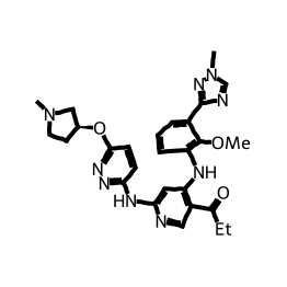 CCC(=O)c1cnc(Nc2ccc(O[C@H]3CCN(C)C3)nn2)cc1Nc1cccc(-c2ncn(C)n2)c1OC